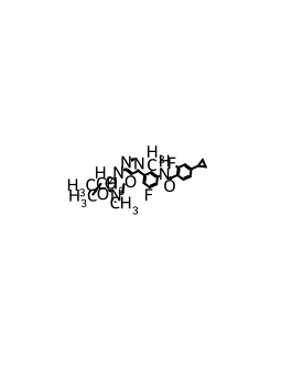 Cc1c(NC(=O)c2ccc(C3CC3)cc2F)cc(F)cc1-c1ncnc(N)c1OCCN(C)C(=O)OC(C)(C)C